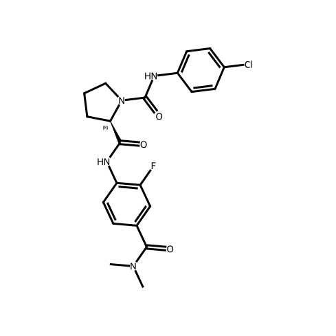 CN(C)C(=O)c1ccc(NC(=O)[C@H]2CCCN2C(=O)Nc2ccc(Cl)cc2)c(F)c1